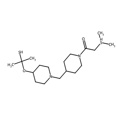 C[SH](C)CC(=O)N1CCC(CN2CCC(OC(C)(C)S)CC2)CC1